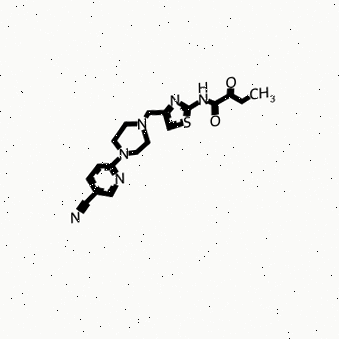 CCC(=O)C(=O)Nc1nc(CN2CCN(c3ccc(C#N)cn3)CC2)cs1